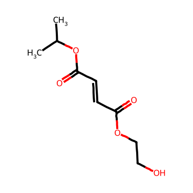 CC(C)OC(=O)C=CC(=O)OCCO